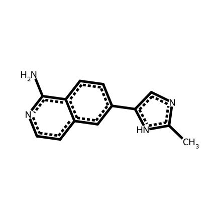 Cc1ncc(-c2ccc3c(N)nccc3c2)[nH]1